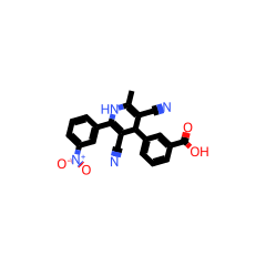 CC1=C(C#N)C(c2cccc(C(=O)O)c2)C(C#N)=C(c2cccc([N+](=O)[O-])c2)N1